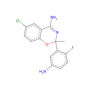 CC1(c2cc(N)ccc2F)N=C(N)c2cc(Cl)ccc2O1